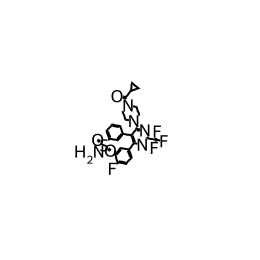 NS(=O)(=O)c1cccc(-c2c(-c3ccc(F)cc3)nc(C(F)(F)F)nc2N2CCN(C(=O)C3CC3)CC2)c1